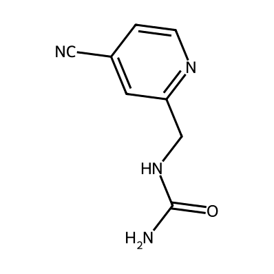 N#Cc1ccnc(CNC(N)=O)c1